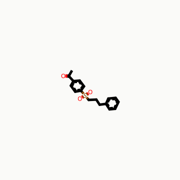 CC(=O)c1ccc(S(=O)(=O)CCCc2ccccc2)cc1